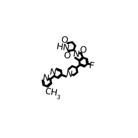 Cc1ccnc(-c2cc(CN3CCC(c4cc(F)cc5c4CN(C4CCC(=O)NC4=O)C5=O)CC3)ccn2)c1